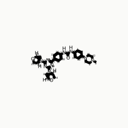 CN1CCN(c2ccc(NC(=O)Nc3ccc(-c4nc(N5C[C@H]6C[C@@H]5CO6)nc(N5C[C@H]6C[C@@H]5CO6)n4)cc3)cc2)CC1